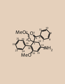 COCOC1(C(=O)c2ccccc2)CC(N)=CC(OC)=C1c1ccccc1